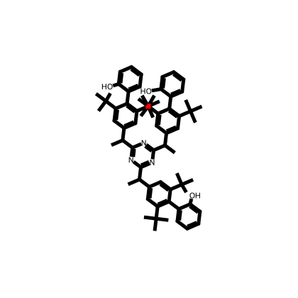 CC(c1cc(C(C)(C)C)c(-c2ccccc2O)c(C(C)(C)C)c1)c1nc(C(C)c2cc(C(C)(C)C)c(-c3ccccc3O)c(C(C)(C)C)c2)nc(C(C)c2cc(C(C)(C)C)c(-c3ccccc3O)c(C(C)(C)C)c2)n1